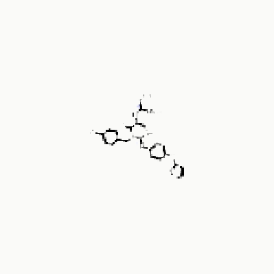 CN/C(=N\C#N)Nc1c[nH]/c(=N\c2ccc(Oc3ccon3)cc2)n(Cc2ccc(Cl)cc2)c1=O